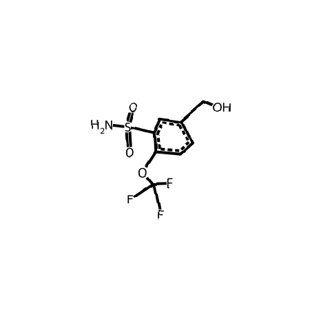 NS(=O)(=O)c1cc(CO)ccc1OC(F)(F)F